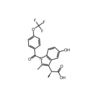 Cc1c([C@H](C)C(=O)O)c2cc(O)ccc2n1C(=O)c1ccc(OC(F)(F)F)cc1